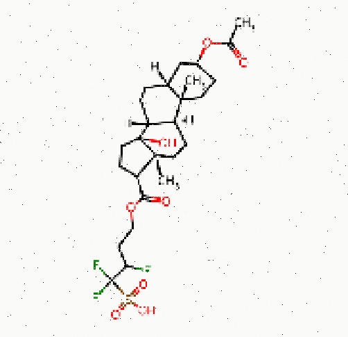 CC(=O)O[C@H]1CC[C@@]2(C)[C@H](CC[C@@H]3[C@@H]2CC[C@]2(C)[C@@H](C(=O)OCCC(F)C(F)(F)S(=O)(=O)O)CC[C@]32O)C1